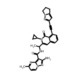 Cc1ccn2nc(N)c(C(=O)NC(C)c3cc4cccc(C#Cc5cc6n(n5)CCC6)c4c(=O)n3C3CC3)c2n1